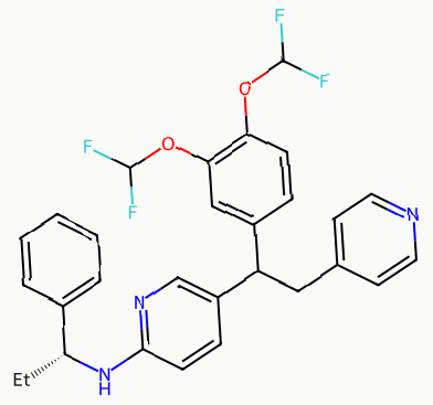 CC[C@@H](Nc1ccc(C(Cc2ccncc2)c2ccc(OC(F)F)c(OC(F)F)c2)cn1)c1ccccc1